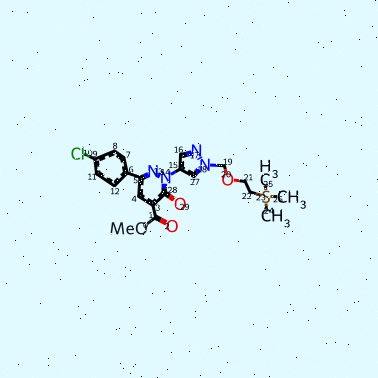 COC(=O)c1cc(-c2ccc(Cl)cc2)nn(-c2cnn(COCCS(C)(C)C)c2)c1=O